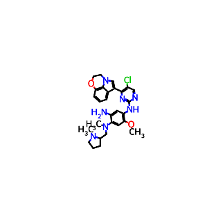 COc1cc(N(C)CC2CCCN2C)c(N)cc1Nc1ncc(Cl)c(-c2cn3c4c(cccc24)OCC3)n1